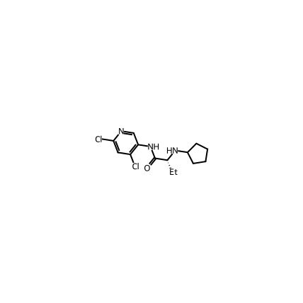 CC[C@@H](NC1CCCC1)C(=O)Nc1cnc(Cl)cc1Cl